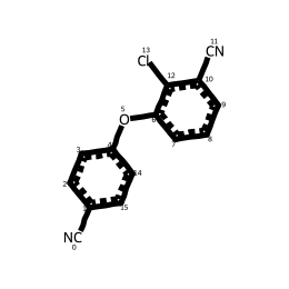 N#Cc1ccc(Oc2cccc(C#N)c2Cl)cc1